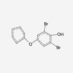 Oc1c(Br)cc(Oc2ccccc2)cc1Br